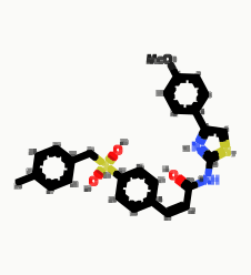 COc1ccc(-c2csc(NC(=O)/C=C\c3ccc(S(=O)(=O)Cc4ccc(C)cc4)cc3)n2)cc1